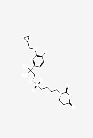 CC(O)(CNS(=O)(=O)CCCCN1CCC(=O)NC1=O)c1ccc(F)c(OCC2CC2)c1